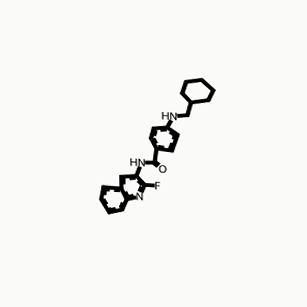 O=C(Nc1cc2ccccc2nc1F)c1ccc(NCC2CCCCC2)cc1